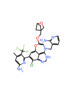 Cc1cc(N)nc(-c2cc3c4c(c2Cl)=NCNC=4N(Cc2cccnc2N)C=C(OCC24COC(C2)C4)O3)c1C(F)(F)F